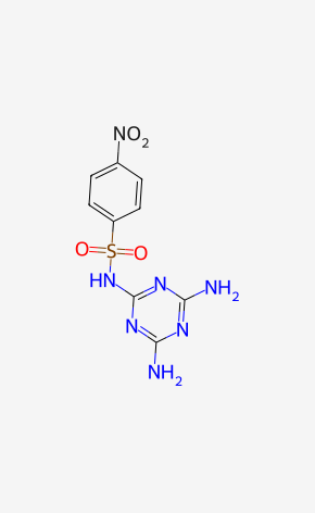 Nc1nc(N)nc(NS(=O)(=O)c2ccc([N+](=O)[O-])cc2)n1